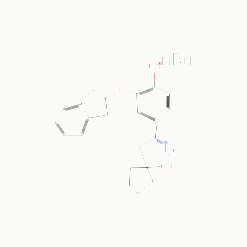 CCCCOc1ccc(C2=NOC3(CCCC3)C2)cc1OC1Cc2ccccc2C1